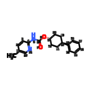 Cc1ccc(NC(=O)O[C@H]2CC[C@H](c3ccccc3)CC2)nc1